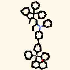 C=C/C(=C\C1=C(C)c2ccccc2C1(c1ccccc1)c1ccccc1)N(c1ccccc1)c1ccc(-c2ccc([Si](c3ccccc3)(c3ccccc3)c3cccc4ccccc34)cc2)cc1